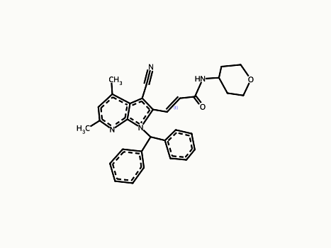 Cc1cc(C)c2c(C#N)c(/C=C/C(=O)NC3CCOCC3)n(C(c3ccccc3)c3ccccc3)c2n1